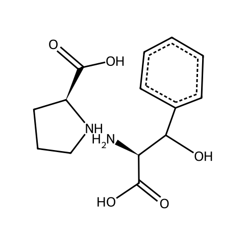 N[C@H](C(=O)O)C(O)c1ccccc1.O=C(O)[C@@H]1CCCN1